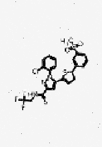 CS(=O)(=O)c1cccc(C2CC=C(c3cc(C(=S)NCC(F)(F)F)nn3-c3ccccc3Cl)S2)c1